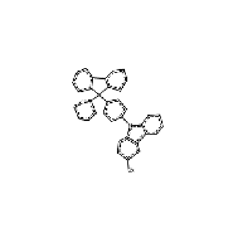 CC(C)(C)c1ccc2c(c1)c1ccccc1n2-c1ccc(C2(c3ccccc3)c3ccccc3-c3ccccc32)cc1